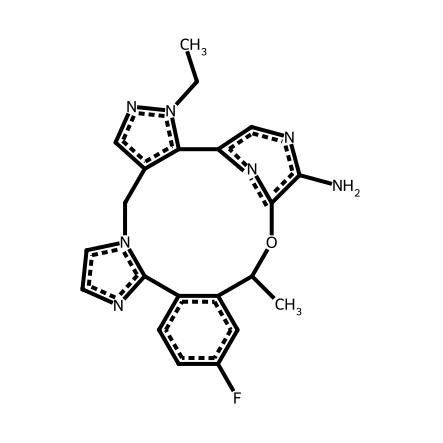 CCn1ncc2c1-c1cnc(N)c(n1)OC(C)c1cc(F)ccc1-c1nccn1C2